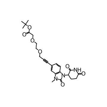 Cn1c(=O)n(C2CCC(=O)NC2=O)c2ccc(C#CCOCCOCC(=O)OC(C)(C)C)cc21